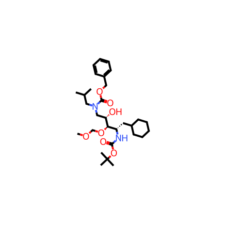 COCO[C@H]([C@H](CC1CCCCC1)NC(=O)OC(C)(C)C)[C@@H](O)CN(CC(C)C)C(=O)OCc1ccccc1